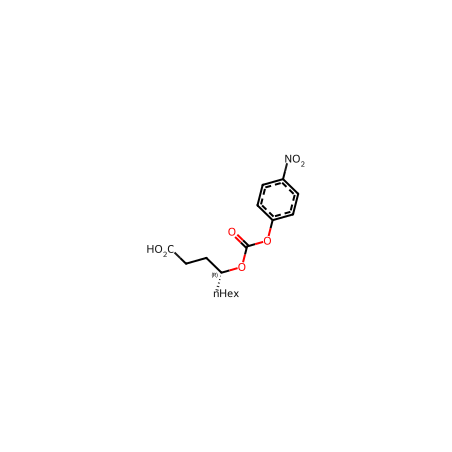 CCCCCC[C@H](CCC(=O)O)OC(=O)Oc1ccc([N+](=O)[O-])cc1